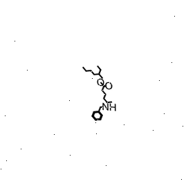 CCCCC(CC)COC(=O)CCCC(C)NCc1ccccc1